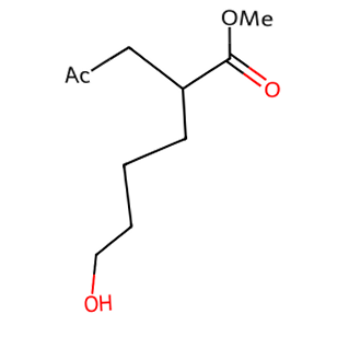 COC(=O)C(CCCCO)CC(C)=O